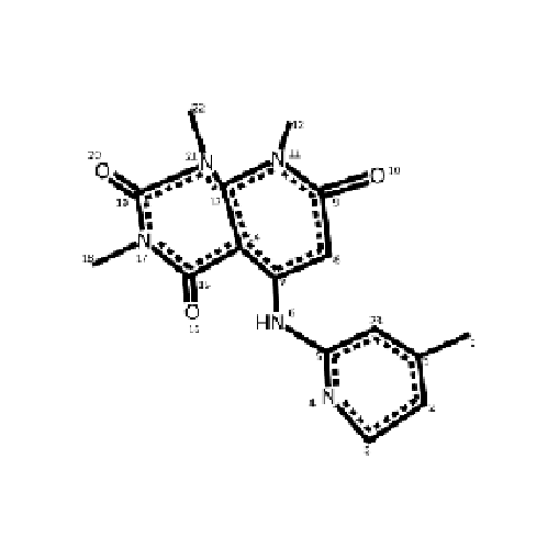 Cc1ccnc(Nc2cc(=O)n(C)c3c2c(=O)n(C)c(=O)n3C)c1